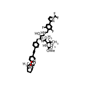 COC(=O)NC(C(=O)N[C@@H](Cc1ccc(C#Cc2ccc(N3CC4CCC(C3)N4C3(C)COC3)nc2)cc1)[C@@H](O)CNCc1c(F)cc(-c2ccn(C(F)F)n2)cc1F)C(C)(C)C(F)(F)F